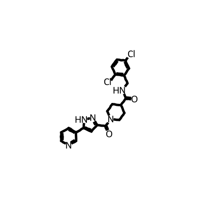 O=C(NCc1cc(Cl)ccc1Cl)C1CCN(C(=O)c2cc(-c3cccnc3)[nH]n2)CC1